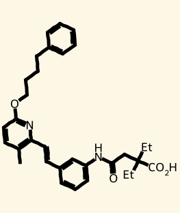 CCC(CC)(CC(=O)Nc1cccc(C=Cc2nc(OCCCCc3ccccc3)ccc2C)c1)C(=O)O